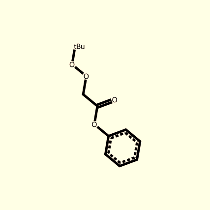 CC(C)(C)OOCC(=O)Oc1ccccc1